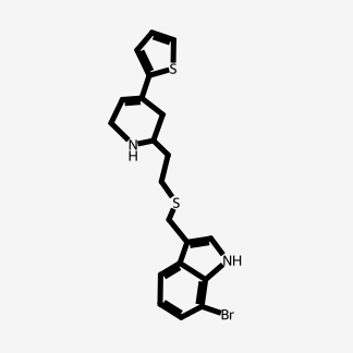 Brc1cccc2c(CSCCC3CC(c4cccs4)=CCN3)c[nH]c12